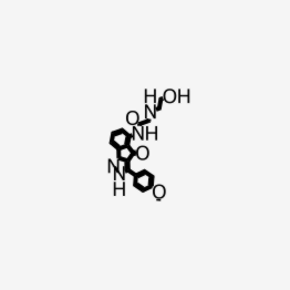 COc1ccc(-c2[nH]nc3c2C(=O)c2c(NC(=O)CNCCO)cccc2-3)cc1